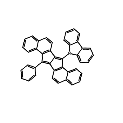 c1ccc(C2=C3C(=C(n4c5ccccc5c5ccccc54)c4c3ccc3ccccc43)c3ccc4ccccc4c32)cc1